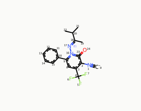 [C-]#[N+]c1c(C(F)(F)F)cc(-c2ccccc2)n(/N=C(\C)C(C)C)c1=O